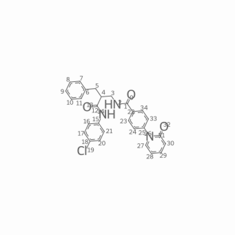 O=C(NCC(Cc1ccccc1)C(=O)Nc1ccc(Cl)cc1)c1ccc(-n2ccccc2=O)cc1